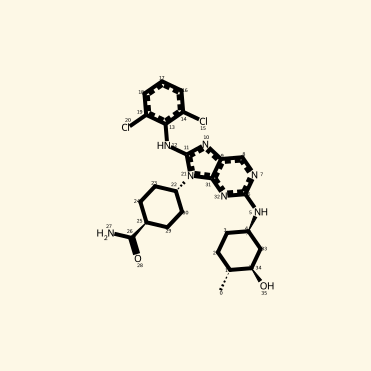 C[C@@H]1CC[C@@H](Nc2ncc3nc(Nc4c(Cl)cccc4Cl)n([C@H]4CC[C@H](C(N)=O)CC4)c3n2)C[C@H]1O